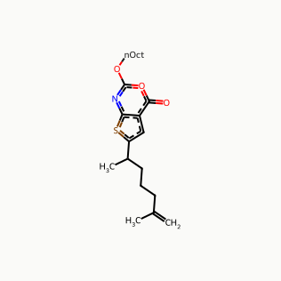 C=C(C)CCCC(C)c1cc2c(=O)oc(OCCCCCCCC)nc2s1